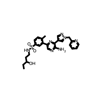 CCC(O)CCNS(=O)(=O)c1ccc(C)c(-c2cnc(N)c(-c3cnn(Cc4ccccn4)c3)n2)c1